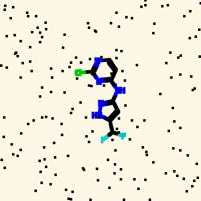 FC(F)c1cc(Nc2ccnc(Cl)n2)n[nH]1